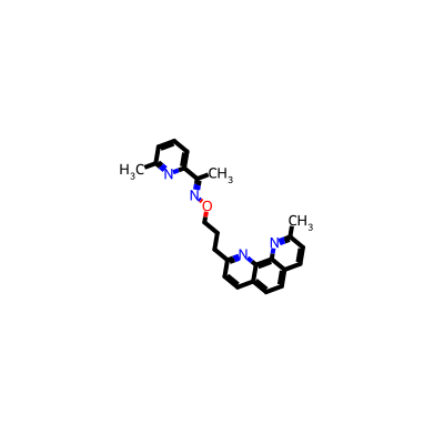 C/C(=N\OCCCc1ccc2ccc3ccc(C)nc3c2n1)c1cccc(C)n1